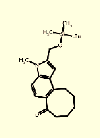 Cn1c(CO[Si](C)(C)C(C)(C)C)cc2c3c(ccc21)C(=O)CCCCC3